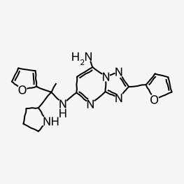 CC(Nc1cc(N)n2nc(-c3ccco3)nc2n1)(c1ccco1)C1CCCN1